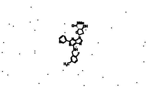 CNC(=O)[C@H]1O[C@@H](n2cnc3c(NCc4cc(C)ccc4F)nc(-c4cccnc4)nc32)C[C@@H]1O